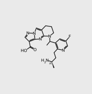 CC(c1cc(F)cnc1CC[C@@H](C)N)N1CCCc2cn3ncc(C(=O)O)c3nc21